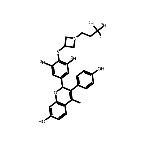 [2H]c1cc(C2Oc3cc(O)ccc3C(C)=C2c2ccc(O)cc2)cc([2H])c1SC1CN(CCC([2H])([2H])[2H])C1